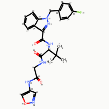 CC(C)(C)[C@H](NC(=O)c1nn(Cc2ccc(F)cc2)c2ccccc12)C(=O)NCC(=O)Nc1cnoc1